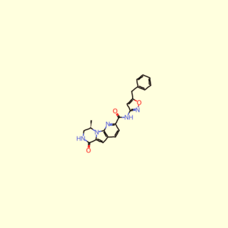 C[C@@H]1CNC(=O)c2cc3ccc(C(=O)Nc4cc(Cc5ccccc5)on4)nc3n21